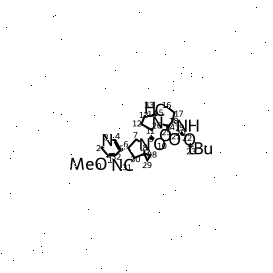 COc1cncc([C@@H]2CN(C(=O)[C@@H]3CC[C@@H]4CCC[C@H](NC(=O)OC(C)(C)C)C(=O)N43)C3(CC3)[C@H]2C#N)c1